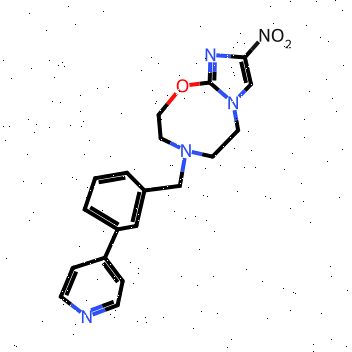 O=[N+]([O-])c1cn2c(n1)OCCN(Cc1cccc(-c3ccncc3)c1)CC2